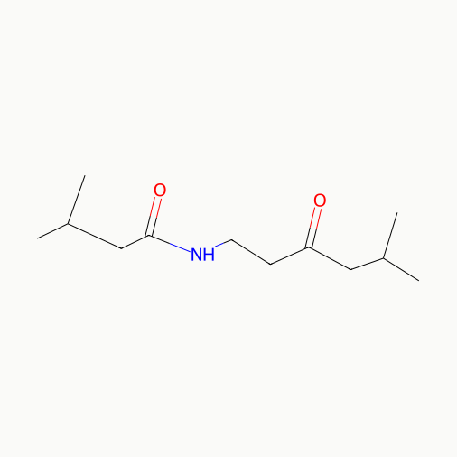 CC(C)CC(=O)CCNC(=O)CC(C)C